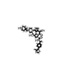 Cc1ncsc1-c1ccc(C(C)NC(=O)[C@@H]2C[C@@H](O)CN2C(=O)C(c2cc(N3CCN(CC4(F)CCNCC4)C[C@@H]3C)no2)C(C)C)cc1